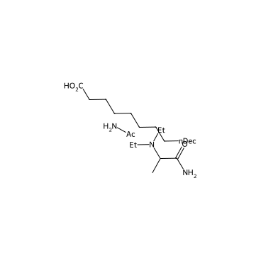 CC(N)=O.CCCCCCCCCCCCCCCCCC(=O)O.CCN(CC)C(C)C(N)=O